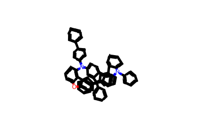 c1ccc(-c2ccc(N(c3ccc4c(c3)C(c3ccccc3)(c3ccccc3)c3ccccc3-4)c3cccc4oc5ccc(-c6ccc7c(c6)c6ccccc6n7-c6ccccc6)cc5c34)cc2)cc1